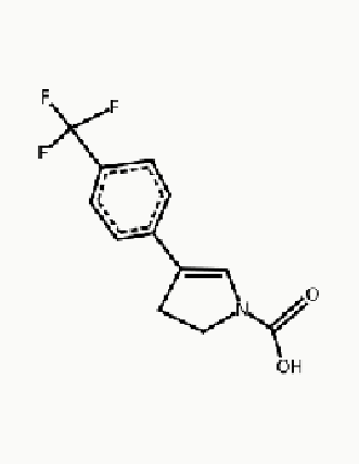 O=C(O)N1C=C(c2ccc(C(F)(F)F)cc2)CC1